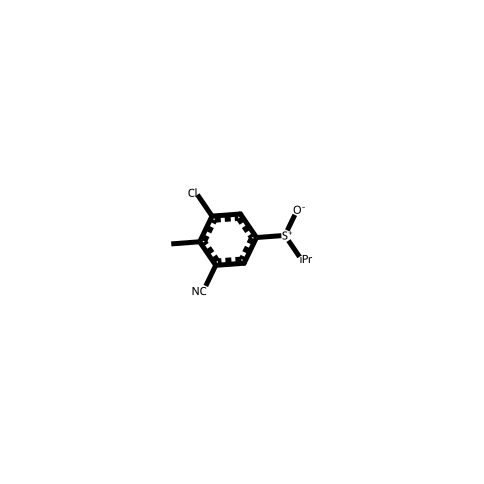 Cc1c(Cl)cc([S+]([O-])C(C)C)cc1C#N